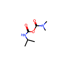 CC(C)NC(=O)OC(=O)N(C)C